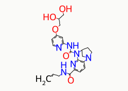 C=CCNC(=O)c1ccc2c(n1)N(C(=O)Nc1cc(OCC(O)CO)ccn1)C1CCN2C1